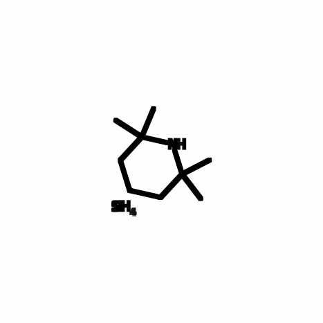 CC1(C)CCCC(C)(C)N1.[SiH4]